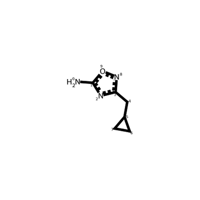 Nc1nc(CC2CC2)no1